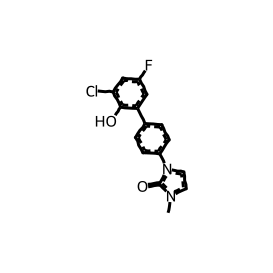 Cn1ccn(-c2ccc(-c3cc(F)cc(Cl)c3O)cc2)c1=O